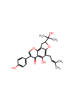 CC(C)=CCc1c2c(c3occ(-c4ccc(O)cc4)c(=O)c3c1O)CC(C(C)(C)O)O2